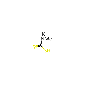 CNC(=S)S.[K]